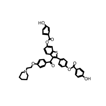 O=C(Oc1ccc(-c2sc3cc(OC(=O)c4ccc(O)cc4)ccc3c2C(=O)c2ccc(OCCN3CCCCC3)cc2)cc1)c1ccc(O)cc1